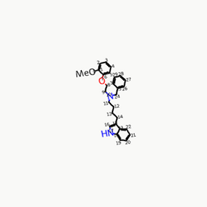 COc1ccccc1OCCN(CCCCc1c[nH]c2ccccc12)Cc1ccccc1